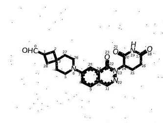 O=CC1CC2(CCN(c3ccc4cnn(C5CCC(=O)NC5=O)c(=O)c4c3)CC2)C1